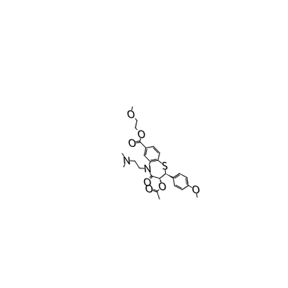 COCCOC(=O)c1ccc2c(c1)N(CCN(C)C)C(=O)[C@H](OC(C)=O)[C@H](c1ccc(OC)cc1)S2